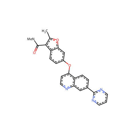 CNC(=O)c1c(C)oc2cc(Oc3ccnc4cc(-c5ncccn5)ccc34)ccc12